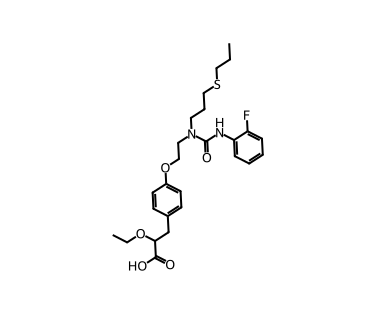 CCCSCCCN(CCOc1ccc(CC(OCC)C(=O)O)cc1)C(=O)Nc1ccccc1F